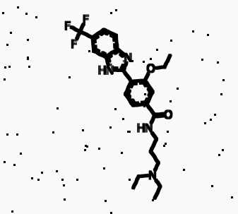 CCOc1cc(C(=O)NCCCN(CC)CC)ccc1-c1nc2ccc(C(F)(F)F)cc2[nH]1